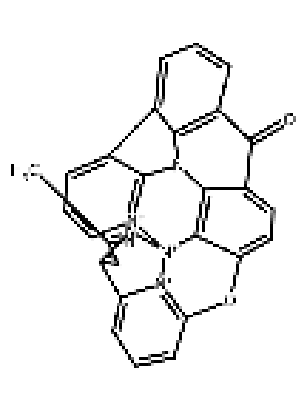 Cc1cc2n(n1)[N+]13c4c(ccc5c(=O)c6cccc7c8ccc[n+]1c8n(c45)c67)Oc1cccc-2[n+]13